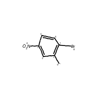 [CH2]c1cc([N+](=O)[O-])ccc1Br